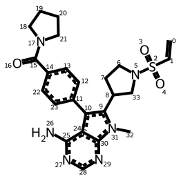 C=CS(=O)(=O)N1CCC(c2c(-c3ccc(C(=O)N4CCCC4)cc3)c3c(N)ncnc3n2C)C1